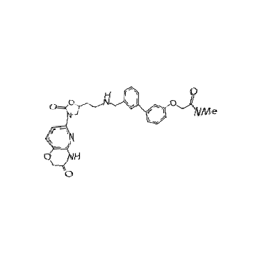 CNC(=O)COc1cccc(-c2cccc(CNCCC3CN(c4ccc5c(n4)NC(=O)CO5)C(=O)O3)c2)c1